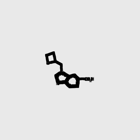 O=C(O)c1ccc2ncn(CC3CCO3)c2c1